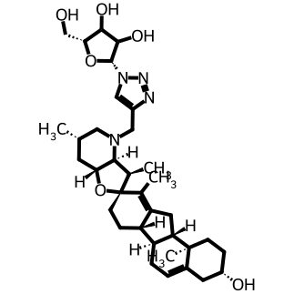 CC1=C2C[C@H]3[C@@H](CC=C4C[C@@H](O)CC[C@@]43C)[C@@H]2CC[C@]12O[C@@H]1C[C@H](C)CN(Cc3cn([C@@H]4O[C@H](CO)C(O)C4O)nn3)[C@H]1[C@H]2C